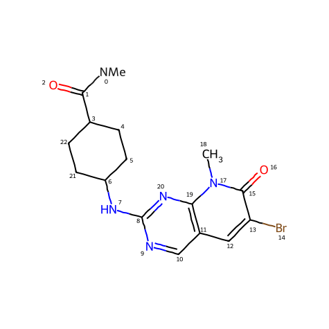 CNC(=O)C1CCC(Nc2ncc3cc(Br)c(=O)n(C)c3n2)CC1